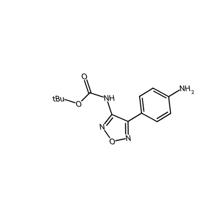 CC(C)(C)OC(=O)Nc1nonc1-c1ccc(N)cc1